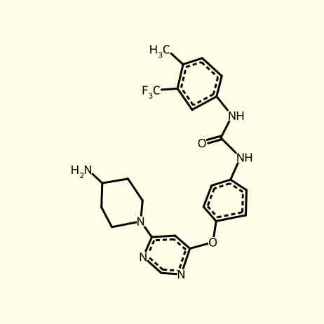 Cc1ccc(NC(=O)Nc2ccc(Oc3cc(N4CCC(N)CC4)ncn3)cc2)cc1C(F)(F)F